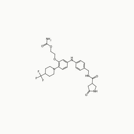 NC(=O)OCCOc1cc(Nc2ccc(CNC(=O)C3CNC(=O)C3)cc2)ccc1N1CCC(C(F)(F)F)CC1